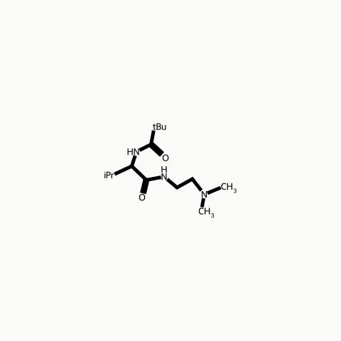 CC(C)C(NC(=O)C(C)(C)C)C(=O)NCCN(C)C